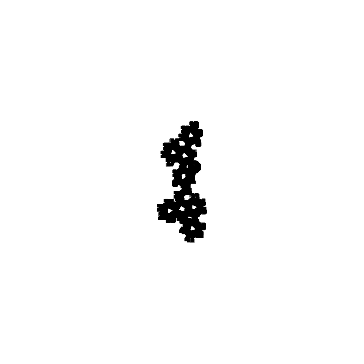 C1=CC2c3c(cc(-c4ccccc4)c4ccccc34)OC2C=C1CCC(c1ccccc1)c1cccc2c1sc1ccccc12